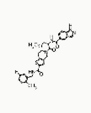 COC[C@@H](NC(=O)c1ccc2[nH]ncc2c1)C(=O)N1CCc2sc(C(=O)NCc3cc(F)ccc3C)cc2C1